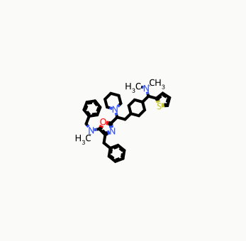 CN(Cc1ccccc1)c1oc(C(CC2CCC(C(c3cccs3)N(C)C)CC2)N2CCCCC2)nc1Cc1ccccc1